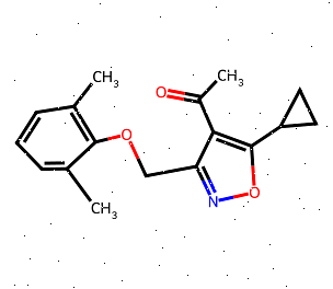 CC(=O)c1c(COc2c(C)cccc2C)noc1C1CC1